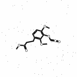 COC(=O)CCc1ccc(OC)c(OC=C=O)c1OC